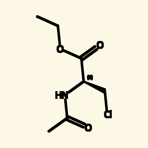 CCOC(=O)[C@@H](CCl)NC(C)=O